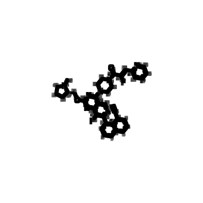 C#Cc1cccc2cccc(-c3ncc4c(N5CCN(C(=O)/C(F)=C/c6ccccn6)CC5)nc(OC[C@@H]5CCCN5C)nc4c3F)c12